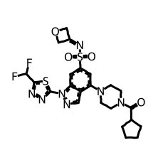 O=C(C1CCCC1)N1CCN(c2cc(S(=O)(=O)N=C3COC3)cc3c2cnn3-c2nnc(C(F)F)s2)CC1